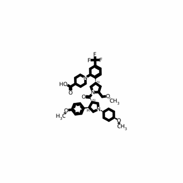 COCC1C[C@@H](C2=CC=C(C(F)(F)F)CC2N2CCC(C(=O)O)CC2)CN1C(=O)[C@@H]1CN([C@H]2CC[C@H](OC)CC2)C[C@H]1c1ccc(OC)cc1